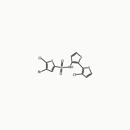 O=S(=O)(Nc1ccsc1-c1sccc1Cl)c1cc(Br)c(Cl)s1